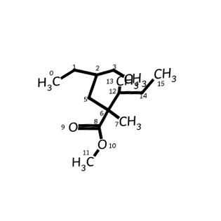 CCC(CC)CC(C)(C(=O)OC)C(C)CC